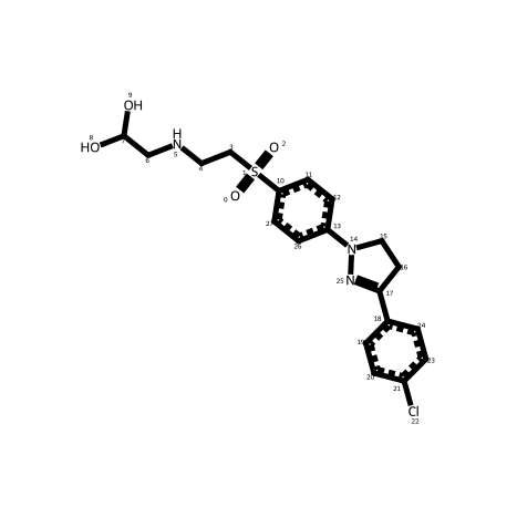 O=S(=O)(CCNCC(O)O)c1ccc(N2CCC(c3ccc(Cl)cc3)=N2)cc1